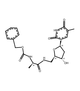 Cc1cn([C@H]2C[C@H](O)[C@@H](CNC(=O)[C@@H](C)NC(=O)OCc3ccccc3)O2)c(=O)[nH]c1=O